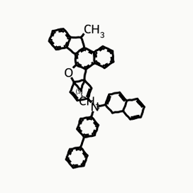 CC1c2ccccc2-c2c3c(c4ccccc4c21)C12C=C(N(C4=CC=C5C=CC=CC5C4)c4ccc(-c5ccccc5)cc4)C=CC1(O3)[C@H]2C